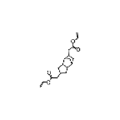 C=COC(=O)CC1CC2C3CC(CC(=O)OC=C)C(C3)C2C1